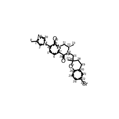 Cc1cn(-c2ccc3n(c2=O)C[C@@H](C)N(CC2(C)CCc4cc(Br)ccc4O2)C3=O)cn1